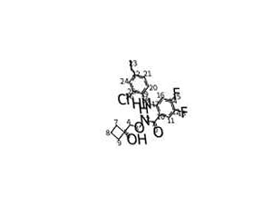 O=C(NOCC1(O)CCC1)c1cc(F)c(F)cc1Nc1ccc(I)cc1Cl